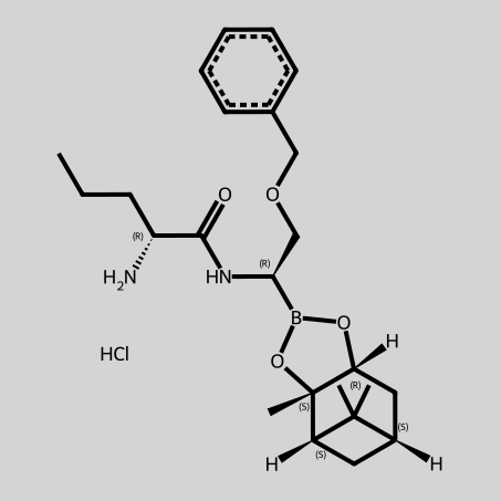 CCC[C@@H](N)C(=O)N[C@@H](COCc1ccccc1)B1O[C@@H]2C[C@@H]3C[C@@H](C3(C)C)[C@]2(C)O1.Cl